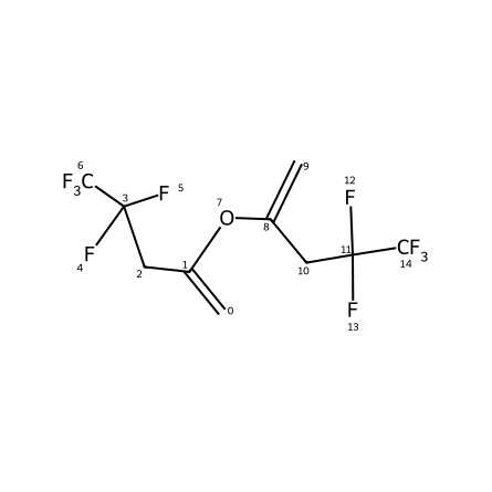 C=C(CC(F)(F)C(F)(F)F)OC(=C)CC(F)(F)C(F)(F)F